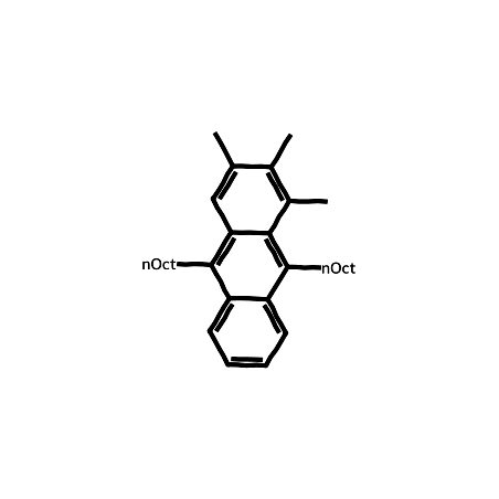 CCCCCCCCc1c2ccccc2c(CCCCCCCC)c2c(C)c(C)c(C)cc12